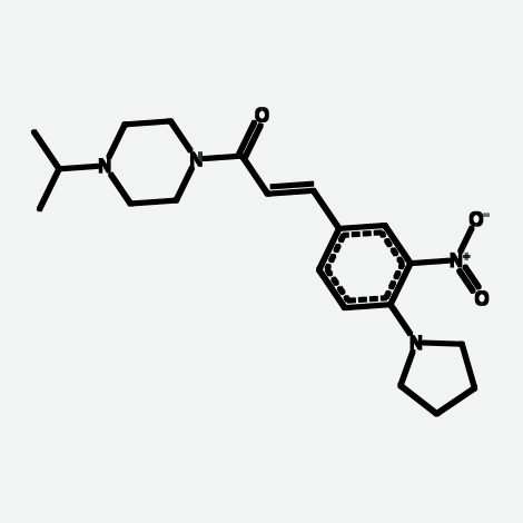 CC(C)N1CCN(C(=O)/C=C/c2ccc(N3CCCC3)c([N+](=O)[O-])c2)CC1